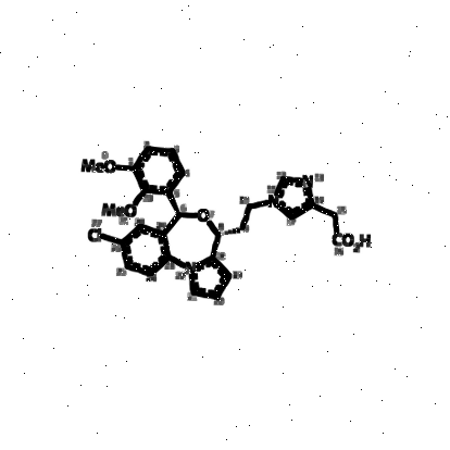 COc1cccc([C@H]2O[C@H](CCn3cnc(CC(=O)O)c3)c3cccn3-c3ccc(Cl)cc32)c1OC